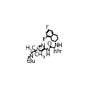 CCC[C@H](N[C@H]1CCc2cc(F)cc(F)c2C1)C(=O)Nc1cn(C(C)(C)C/N=C/C(C)(C)C)cn1